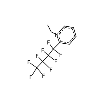 CC[n+]1ccccc1C(F)(F)C(F)(F)C(F)(F)C(F)(F)F